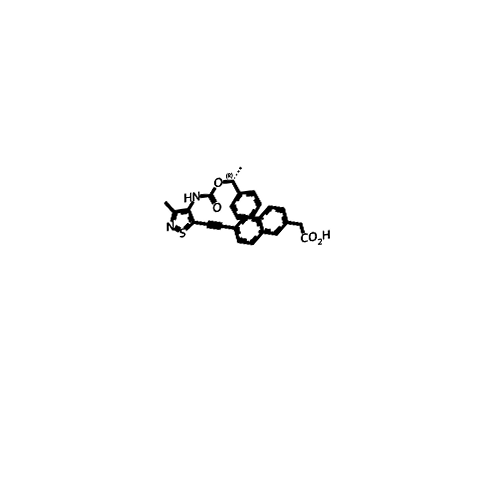 Cc1nsc(C#Cc2ccc3cc(CC(=O)O)ccc3c2)c1NC(=O)O[C@H](C)c1ccccc1